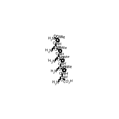 COc1ccc(NC(=O)[C@H](CCCCN)NC(=O)c2cc(NC(=O)[C@H](CCCCN)NC(=O)c3cc(NC(=O)[C@H](CCCCN)NC(=O)c4cc(NC(=O)[C@H](CCCCN)NC(=O)CC(=O)O)ccc4OC)ccc3OC)ccc2OC)cc1C(N)=O